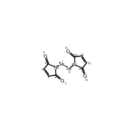 O=C1C=CC(=O)N1[Se][Se]N1C(=O)C=CC1=O